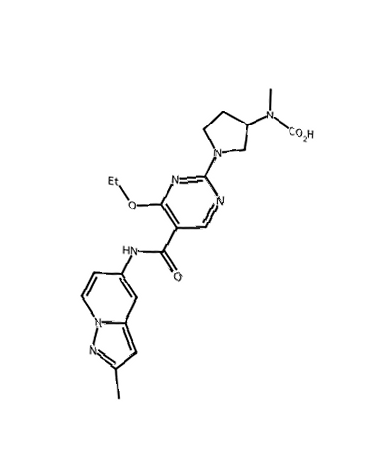 CCOc1nc(N2CCC(N(C)C(=O)O)C2)ncc1C(=O)Nc1ccn2nc(C)cc2c1